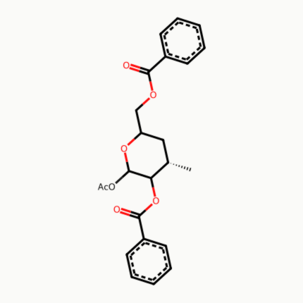 CC(=O)OC1OC(COC(=O)c2ccccc2)C[C@H](C)C1OC(=O)c1ccccc1